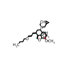 CCCCO/C=C/C=C1/C[C@@H](N(CC)CC2CC2)[C@]2(O)CCC(OC)[C@@H]3OC=C1[C@@]32C